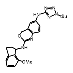 COc1cccc2c1C(NC1=Nc3ccc(Nc4nnn(C(C)(C)C)n4)cc3CO1)CC2